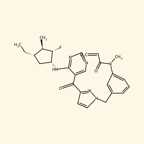 C=CC(=O)N(C)c1cccc(Cn2ccc(C(=O)c3cncnc3N[C@@H]3C[C@H](CC)[C@@H](C)[C@@H]3F)n2)c1